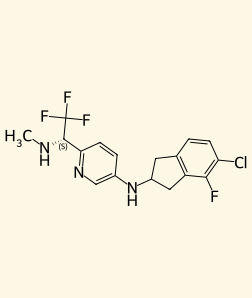 CN[C@@H](c1ccc(NC2Cc3ccc(Cl)c(F)c3C2)cn1)C(F)(F)F